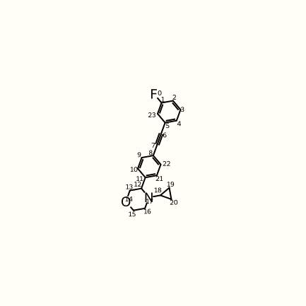 Fc1cccc(C#Cc2ccc(C3COCCN3C3CC3)cc2)c1